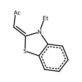 CCN1C(=CC(C)=O)Sc2ccccc21